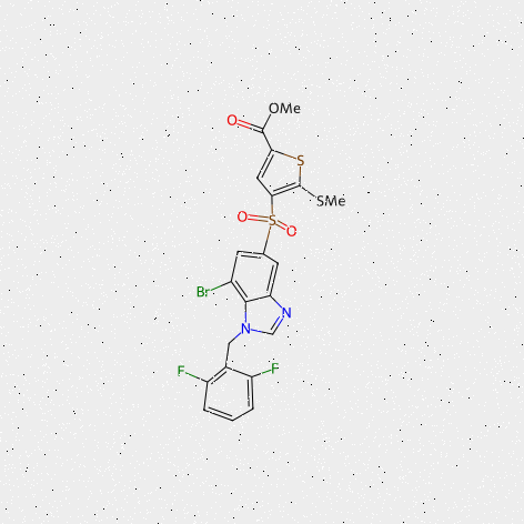 COC(=O)c1cc(S(=O)(=O)c2cc(Br)c3c(c2)ncn3Cc2c(F)cccc2F)c(SC)s1